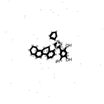 C1=CCCC=C1.CC(C)c1cc(-c2nncn2-c2cccc3c2CCc2c-3ccc3c2CCCC3)c(O)cc1O